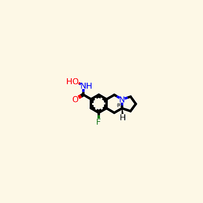 O=C(NO)c1cc(F)c2c(c1)CN1CCC[C@@H]1C2